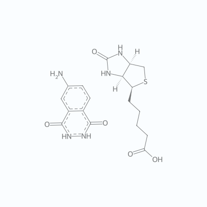 Nc1ccc2c(=O)[nH][nH]c(=O)c2c1.O=C(O)CCCC[C@@H]1SC[C@@H]2NC(=O)N[C@@H]21